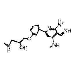 CNCC(O)COc1cccc(-c2cc(NC)c(C=N)c(N)n2)c1